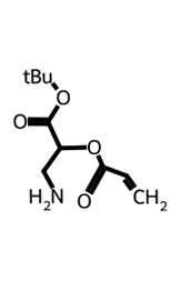 C=CC(=O)OC(CN)C(=O)OC(C)(C)C